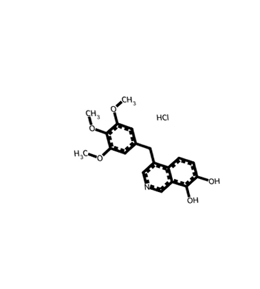 COc1cc(Cc2cncc3c(O)c(O)ccc23)cc(OC)c1OC.Cl